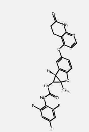 CC12Oc3ccc(Oc4ccnc5c4CCC(=O)N5)cc3[C@H]1[C@@H]2NC(=O)Nc1c(F)cc(F)cc1F